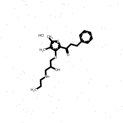 CCCNCC(O)COc1c(C(=O)CCc2ccccc2)sc(C)c1C.Cl